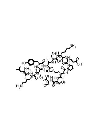 CSCC[C@H](NC(=O)[C@@H]1CCCN1C(=O)[C@H](CCC(=O)O)NC(=O)[C@H](CCCCN)NC(=O)[C@H](CS)NC(=O)[C@@H](NC(=O)[C@H](Cc1ccc(O)cc1)NC(=O)[C@H](CS)NC(=O)[C@H](CCCCN)NC(=O)[C@@H](N)CC(C)C)[C@@H](C)O)C(=O)N[C@H](C(=O)N[C@H]([C]=O)[C@@H](C)O)[C@@H](C)O